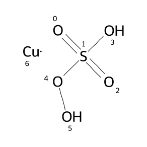 O=S(=O)(O)OO.[Cu]